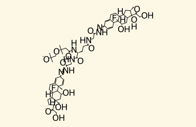 COC(C)(C)COC(C)(C)CC(=O)N[C@@H](CCC(=O)NCC(=O)N/N=C1\C=C[C@@]2(C)C(=C1)CC[C@H]1[C@@H]3C[C@@H](C)[C@](O)(C(=O)CO)[C@@]3(C)C[C@H](O)[C@@]12F)C(=O)NCC(=O)N/N=C1\C=C[C@@]2(C)C(=C1)CC[C@H]1[C@@H]3C[C@@H](C)[C@](O)(C(=O)CO)[C@@]3(C)C[C@H](O)[C@@]12F